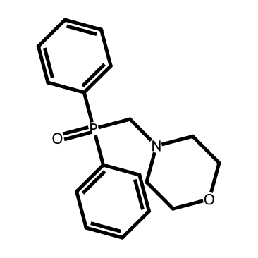 O=P(CN1CCOCC1)(c1ccccc1)c1ccccc1